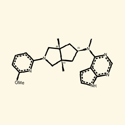 COc1cccc(N2C[C@]3(C)C[C@@H](N(C)c4ncnc5[nH]ccc45)C[C@]3(C)C2)n1